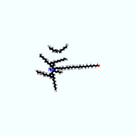 CCCCCCCCCCCCCCCCCCCCCCCCC=CC1=C(c2cc(CCCCCCCC)cc(CCCCCCCC)c2)[N+](=[N-])C(c2cc(CCCCCCCC)cc(CCCCCCCC)c2)=C1CCCC.CCCCC[CH2][Ni][CH2]CCCCC